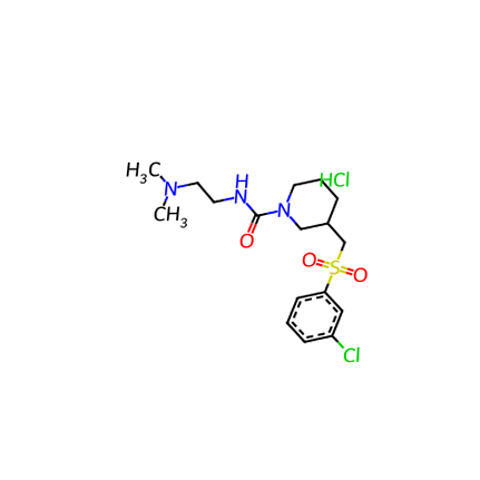 CN(C)CCNC(=O)N1CCCC(CS(=O)(=O)c2cccc(Cl)c2)C1.Cl